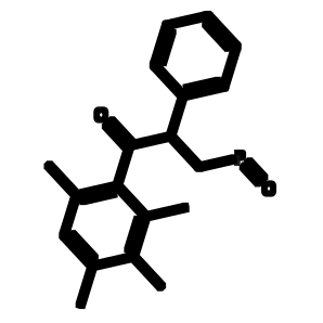 Cc1cc(C)c(C(=O)C(CP=O)c2ccccc2)c(C)c1C